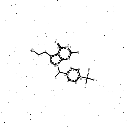 Cc1nc2c(c(CCO)nn2C(C)c2ccc(C(F)(F)F)cc2)c(=O)[nH]1